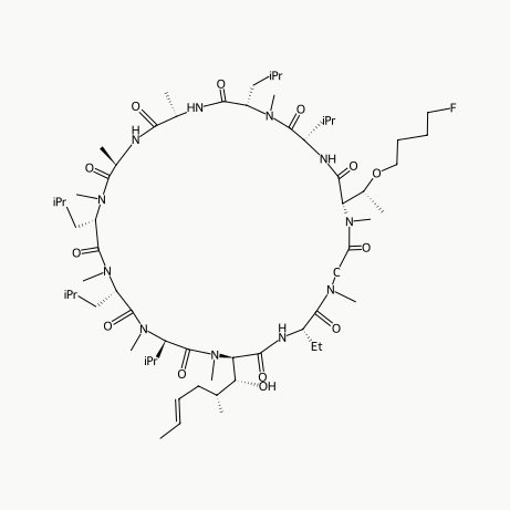 C/C=C/C[C@@H](C)[C@@H](O)[C@@H]1C(=O)N[C@@H](CC)C(=O)N(C)CC(=O)N(C)[C@@H]([C@@H](C)OCCCCF)C(=O)N[C@@H](C(C)C)C(=O)N(C)[C@@H](CC(C)C)C(=O)N[C@@H](C)C(=O)N[C@H](C)C(=O)N(C)[C@@H](CC(C)C)C(=O)N(C)[C@@H](CC(C)C)C(=O)N(C)[C@H](C(C)C)C(=O)N1C